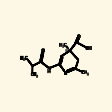 CC1=NC(NC(=O)C(C)C)=C[C@@](C)(C(=O)O)C1